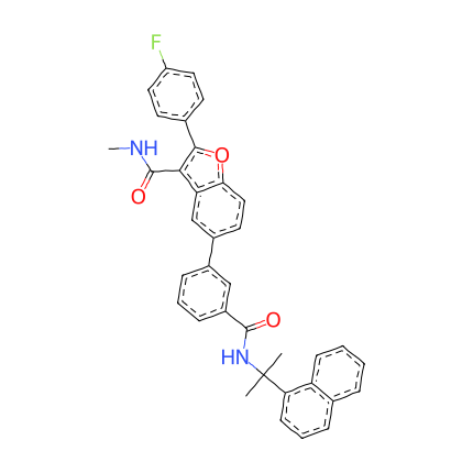 CNC(=O)c1c(-c2ccc(F)cc2)oc2ccc(-c3cccc(C(=O)NC(C)(C)c4cccc5ccccc45)c3)cc12